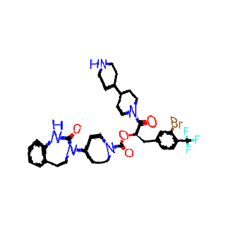 O=C(O[C@H](Cc1ccc(C(F)(F)F)c(Br)c1)C(=O)N1CCC(C2CCNCC2)CC1)N1CCC(N2CCc3ccccc3NC2=O)CC1